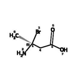 C[C@](N)(Br)CC(=O)O